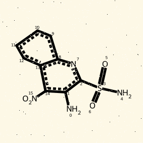 Nc1c(S(N)(=O)=O)nc2ccccc2c1[N+](=O)[O-]